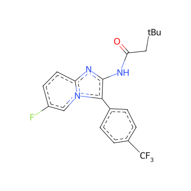 CC(C)(C)CC(=O)Nc1nc2ccc(F)cn2c1-c1ccc(C(F)(F)F)cc1